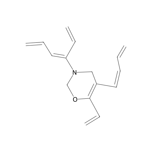 C=C/C=C\C1=C(C=C)OCN(/C(C=C)=C/C=C)C1